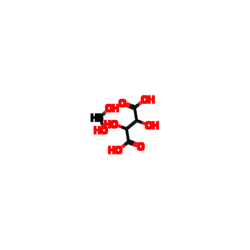 O=C(O)C(O)C(O)C(=O)O.OBO